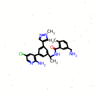 Cc1ccc(CN)cc1C(=O)NC(C)c1cc(-c2cnn(C)c2)cc(-c2cc(Cl)cnc2N)c1